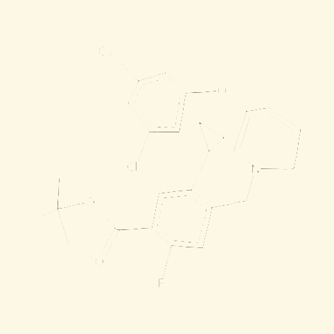 CC(C)(C)OC(=O)c1cc(C2CC2)c(CN2C=C(Oc3cc(Cl)cc(Cl)c3)C=CC2)cc1F